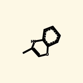 CC1=COc2ccccc2N1